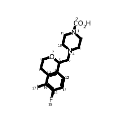 O=C(O)N1CCN(CC2OCCc3c2ccc(F)c3I)CC1